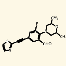 CC1CN(c2c(F)cc(C#Cc3nccs3)cc2C=O)CC(C)O1